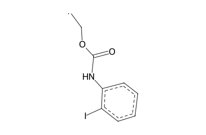 [CH2]COC(=O)Nc1ccccc1I